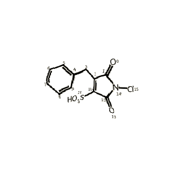 O=C1C(Cc2ccccc2)=C(S(=O)(=O)O)C(=O)N1Cl